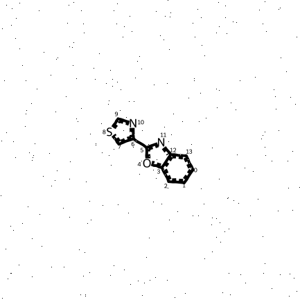 c1ccc2oc(-c3cscn3)nc2c1